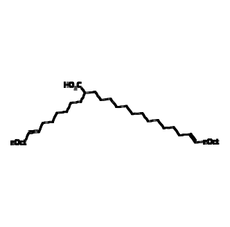 CCCCCCCCC=CCCCCCCCCCCCCC(CCCCCCC=CCCCCCCCC)C(=O)O